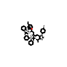 CCOC(=O)CC(CC(C=Cc1c(C(C)C)nnn1-c1ccc(F)cc1)O[Si](c1ccccc1)(c1ccccc1)C(C)(C)C)O[Si](c1ccccc1)(c1ccccc1)C(C)(C)C